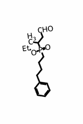 CCOP(=O)(CCCCc1ccccc1)C(C)CC=O